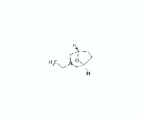 CCN1C[C@@H]2CC[C@@H](C1)O2